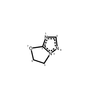 c1nc2n(n1)CCO2